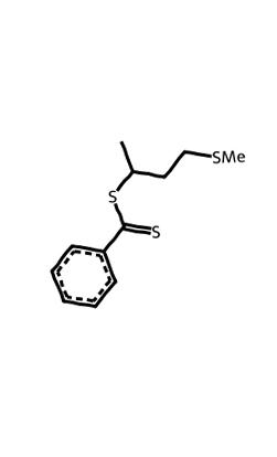 CSCCC(C)SC(=S)c1ccccc1